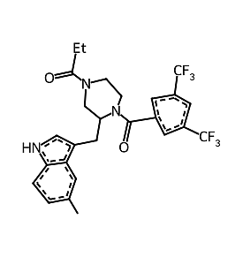 CCC(=O)N1CCN(C(=O)c2cc(C(F)(F)F)cc(C(F)(F)F)c2)C(Cc2c[nH]c3ccc(C)cc23)C1